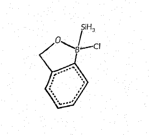 [SiH3][B-]1(Cl)OCc2ccccc21